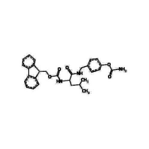 CC(C)CC(NC(=O)OCC1c2ccccc2-c2ccccc21)C(=O)NCc1ccc(OC(N)=O)cc1